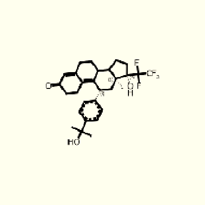 CC(C)(O)c1ccc([C@H]2C[C@@]3(C)C(CC[C@@]3(O)C(F)(F)C(F)(F)F)C3CCC4=CC(=O)CCC4=C32)cc1